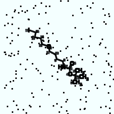 CC(C)(C)OC(=O)NCCCCOCCCCI